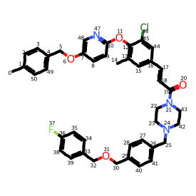 Cc1ccc(COc2ccc(Oc3c(C)cc(C=CC(=O)N4CCN(Cc5ccc(COCc6ccc(F)cc6)cc5)CC4)cc3Cl)nc2)cc1